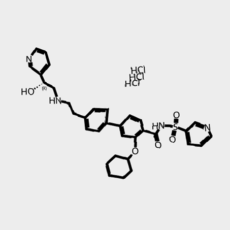 Cl.Cl.Cl.O=C(NS(=O)(=O)c1cccnc1)c1ccc(-c2ccc(CCNC[C@H](O)c3cccnc3)cc2)cc1OC1CCCCC1